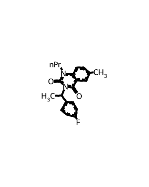 CCCn1c(=O)n(C(C)c2ccc(F)cc2)c(=O)c2cc(C)ccc21